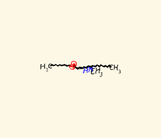 CCCCCCCCCCOC(=O)CCCCCCC(CCCCCCCCCC)NC